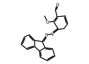 COC1=C(C=O)C=CCC1=NN=C1c2ccccc2-c2ccccc21